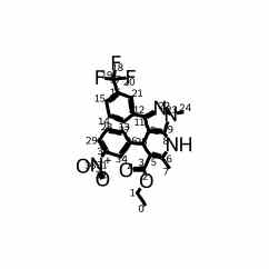 CCOC(=O)C1=C(C)Nc2c(c(-c3cccc(C(F)(F)F)c3)nn2C)C1c1cccc([N+](=O)[O-])c1